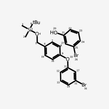 CC(C)(C)[Si](C)(C)OCc1ccc(Oc2cccc(Br)c2)cc1.Oc1cccc(Br)c1